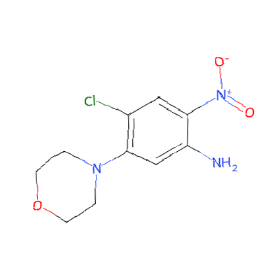 Nc1cc(N2CCOCC2)c(Cl)cc1[N+](=O)[O-]